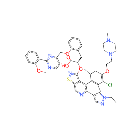 CCn1cc(-c2ncc3snc(O[C@H](Cc4ccccc4OCc4ccnc(-c5ccccc5OC)n4)C(=O)O)c3c2C2=C(C)C(Cl)=C(OCCN3CCN(C)CC3)CC2C)cn1